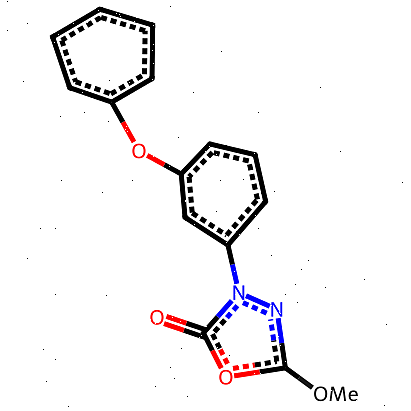 COc1nn(-c2cccc(Oc3ccccc3)c2)c(=O)o1